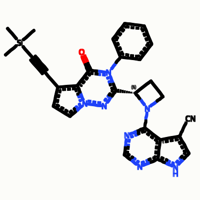 C[Si](C)(C)C#Cc1ccn2nc([C@@H]3CCN3c3ncnc4[nH]cc(C#N)c34)n(-c3ccccc3)c(=O)c12